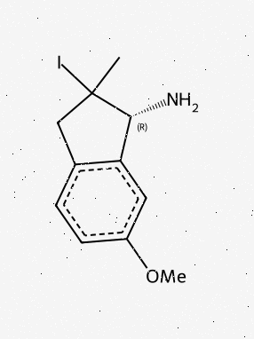 COc1ccc2c(c1)[C@@H](N)C(C)(I)C2